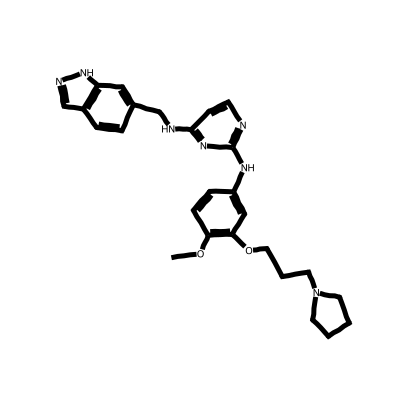 COc1ccc(Nc2nccc(NCc3ccc4cn[nH]c4c3)n2)cc1OCCCN1CCCC1